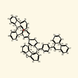 c1cc(-c2ccc(N(c3ccc(-c4cc5ccccc5c5ccccc45)cc3)c3cccc4oc5ccccc5c34)cc2)cc(-c2ccccc2-n2c3ccccc3c3ccccc32)c1